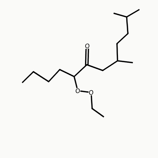 CCCCC(OOCC)C(=O)CC(C)CCC(C)C